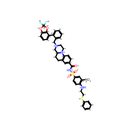 O=C(NS(=O)(=O)c1ccc(NCCSc2ccccc2)c([N+](=O)[O-])c1)c1ccc2c(c1)CCC1CN(Cc3ccccc3-c3cccc4c3OC(F)(F)O4)CCN21